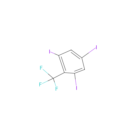 FC(F)(F)c1c(I)cc(I)cc1I